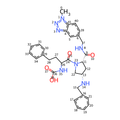 Cn1nnc2cc(CNC(=O)[C@@H]3C[C@H](NCc4ccccc4)CN3C(=O)C(CCc3ccccc3)NC(=O)O)ccc21